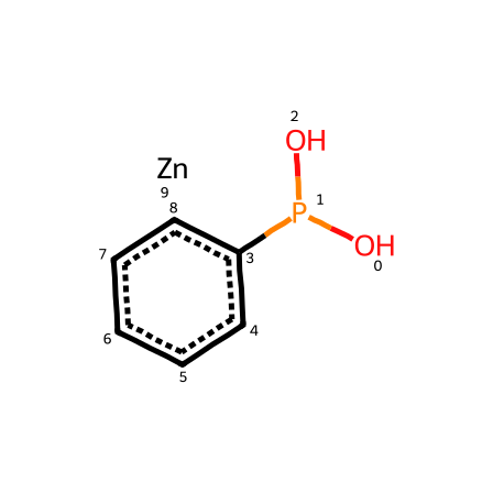 OP(O)c1ccccc1.[Zn]